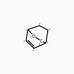 C1=CC2CCC1CO2